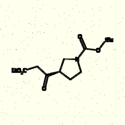 CCOC(=O)CC(=O)[C@@H]1CCN(C(=O)OC(C)(C)C)C1